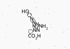 Nc1nc(N2CCN(c3ccc(O)cc3)CC2)nc2c1ncn2C1CCCC(C(=O)O)C1